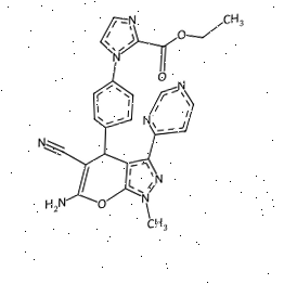 CCOC(=O)c1nccn1-c1ccc(C2C(C#N)=C(N)Oc3c2c(-c2ccncn2)nn3C)cc1